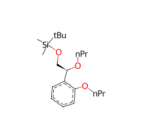 CCCOc1ccccc1[C@@H](CO[Si](C)(C)C(C)(C)C)OCCC